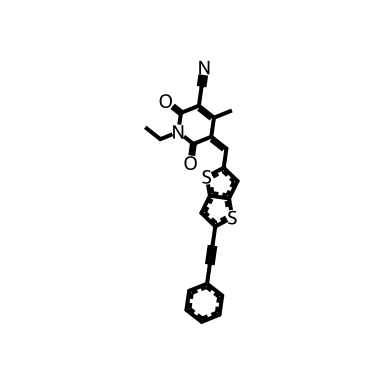 CCN1C(=O)C(C#N)=C(C)/C(=C/c2cc3sc(C#Cc4ccccc4)cc3s2)C1=O